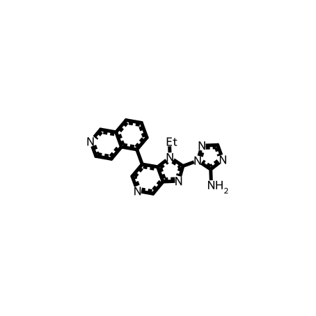 CCn1c(-n2ncnc2N)nc2cncc(-c3cccc4cnccc34)c21